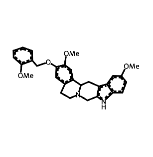 COc1ccc2[nH]c3c(c2c1)CC1c2cc(OC)c(OCc4ccccc4OC)cc2CCN1C3